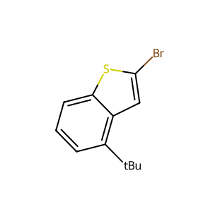 CC(C)(C)c1cccc2sc(Br)cc12